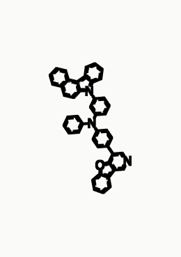 c1ccc(N(c2ccc(-c3cncc4c3oc3ccccc34)cc2)c2cccc(-n3c4ccccc4c4c5ccccc5ccc43)c2)cc1